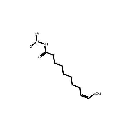 CCCCCCCC/C=C\CCCCCCCC(=O)N[NH+]([O-])CCC